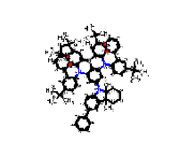 CC(C)(C)c1ccc2c(c1)B1c3cc4c(cc3N(c3ccc(C(C)(C)C)cc3-c3ccccc3)c3cc(N5c6ccc(-c7ccccc7)cc6C6(C)CCCCC56C)cc(c31)N2c1ccc(C(C)(C)C)cc1-c1ccccc1)C(C)(C)CC4(C)C